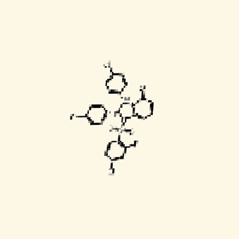 O=c1cccc2n1[C@@H](c1ccc(Cl)cc1)[C@@H](c1ccc(Cl)cc1)N2S(=O)(=O)c1ccc(Cl)cc1F